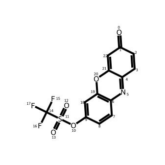 O=c1ccc2nc3ccc(OS(=O)(=O)C(F)(F)F)cc3oc-2c1